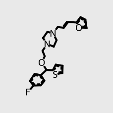 Fc1ccc(C(OCCN2CCN(C/C=C/c3ccco3)CC2)c2cccs2)cc1